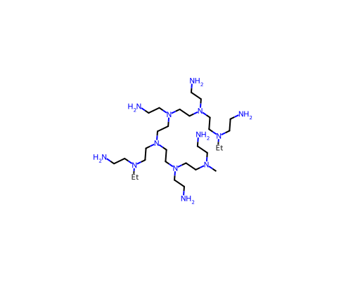 CCN(CCN)CCN(CCN)CCN(CCN)CCN(CCN(CC)CCN)CCN(CCN)CCN(C)CCN